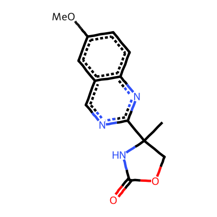 COc1ccc2nc(C3(C)COC(=O)N3)ncc2c1